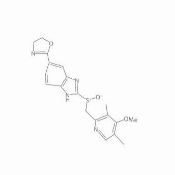 COc1c(C)cnc(C[S+]([O-])c2nc3cc(C4=NCCO4)ccc3[nH]2)c1C